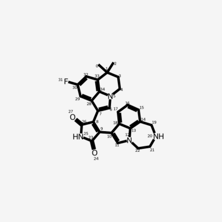 CC1(C)CCn2cc(C3=C(c4cn5c6c(cccc46)CNCC5)C(=O)NC3=O)c3cc(F)cc1c32